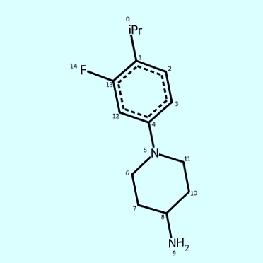 CC(C)c1ccc(N2CCC(N)CC2)cc1F